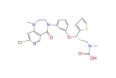 CN(CC[C@H](Oc1cccc(N2CCN(C)c3cc(Cl)ncc3C2=O)c1)c1cccs1)C(=O)O